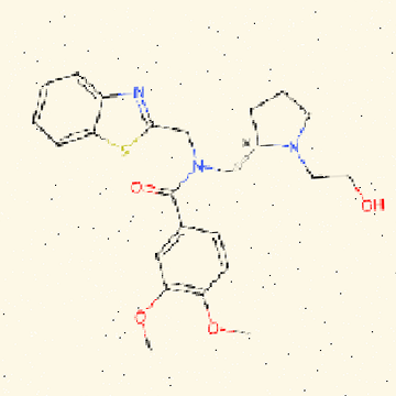 COc1ccc(C(=O)N(Cc2nc3ccccc3s2)C[C@@H]2CCCN2CCO)cc1OC